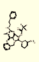 Cn1c(NCCc2ccccc2)nc2c(c1=O)N(Cc1ccccc1)C(N1CCCC(N)C1)N2OC(=O)C(F)(F)F